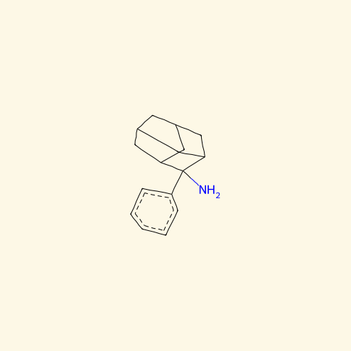 NC1(c2ccccc2)C2CC3CC(C2)CC1C3